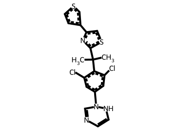 CC(C)(c1nc(-c2ccsc2)cs1)c1c(Cl)cc(N2C=NC=CN2)cc1Cl